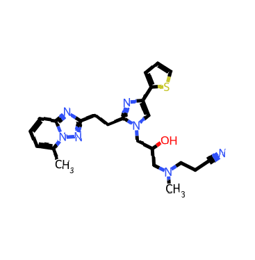 Cc1cccc2nc(CCc3nc(-c4cccs4)cn3CC(O)CN(C)CCC#N)nn12